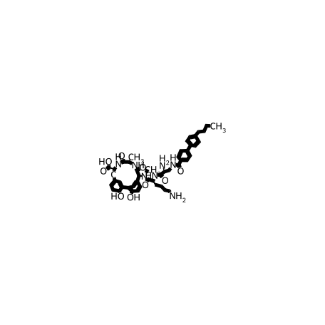 CCCCc1ccc(-c2ccc(C(=O)NC[C@@H](N)C(=O)N[C@@H](CCCCN)C(=O)N(C)[C@@H]3C(=O)N[C@@H](C)C(=O)N[C@H](C(=O)O)CC4=CCC(O)C(=C4)c4cc3ccc4O)cc2)cc1